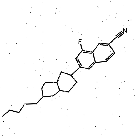 CCCCCC1CCC2CC(c3cc(F)c4cc(C#N)ccc4c3)CCC2C1